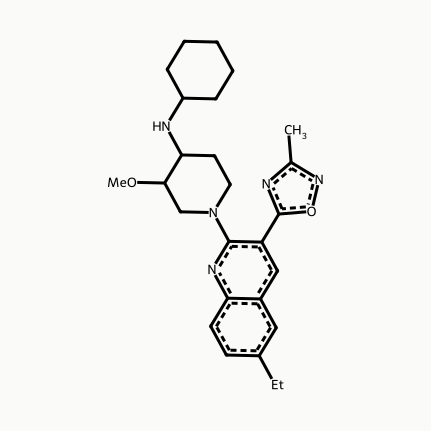 CCc1ccc2nc(N3CCC(NC4CCCCC4)C(OC)C3)c(-c3nc(C)no3)cc2c1